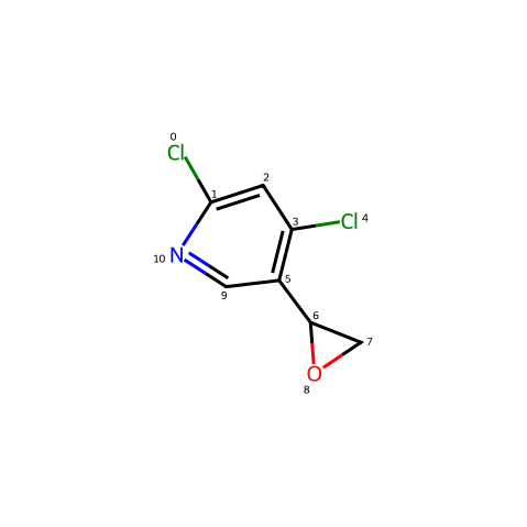 Clc1cc(Cl)c(C2CO2)cn1